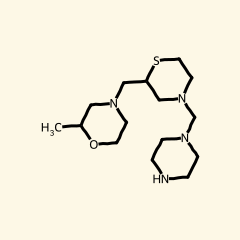 CC1CN(CC2CN(CN3CCNCC3)CCS2)CCO1